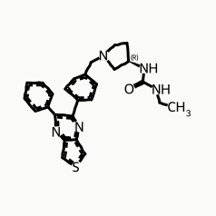 CCNC(=O)N[C@@H]1CCN(Cc2ccc(-c3nc4cscc4nc3-c3ccccc3)cc2)C1